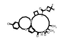 CC1CCC[C@H](C(=O)N2CC(F)(F)C2)C2CCC2CN2CCCCc3cc(Cl)ccc3COc3ccc(cc32)C(=O)NS(=O)(=O)C1C